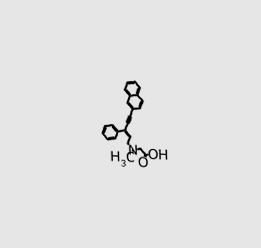 CN(C/C=C(/C#Cc1ccc2ccccc2c1)c1ccccc1)CC(=O)O